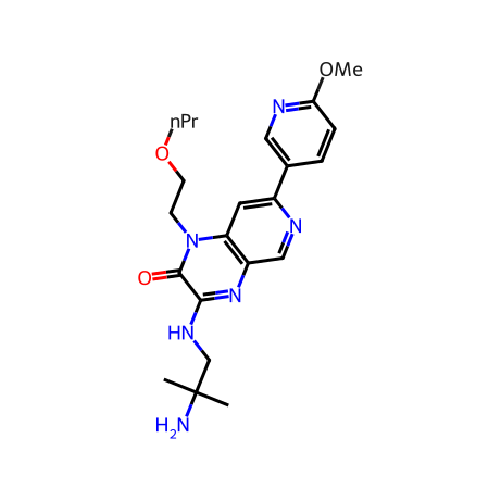 CCCOCCn1c(=O)c(NCC(C)(C)N)nc2cnc(-c3ccc(OC)nc3)cc21